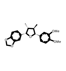 COc1ccc([C@@H]2O[C@H](c3ccc4c(c3)OCO4)[C@H](C)[C@H]2C)cc1OC